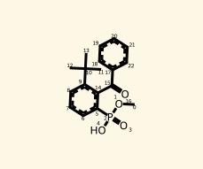 COP(=O)(O)c1cccc(C(C)(C)C)c1C(=O)c1ccccc1